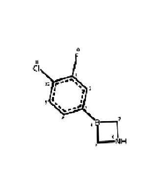 Fc1cc(B2CNC2)ccc1Cl